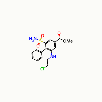 COC(=O)c1cc(NCCCl)c(-c2ccccc2)c(S(N)(=O)=O)c1